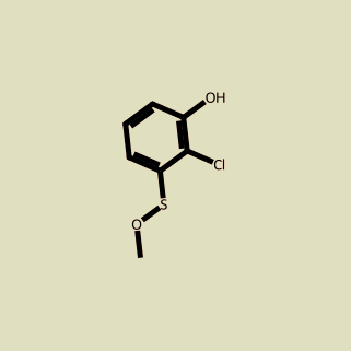 COSc1cccc(O)c1Cl